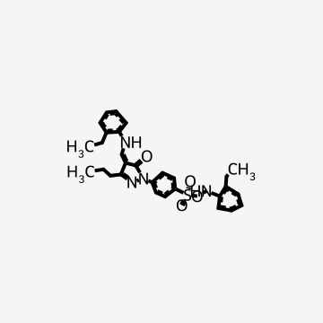 CCCC1=NN(c2ccc(S(=O)(=O)ONc3ccccc3CC)cc2)C(=O)C1=CNc1ccccc1CC